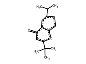 CC(C)c1ccc2oc(C(C)(C)C)cc(=O)c2c1